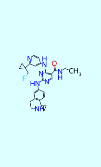 CCNC(=O)c1cnc(Nc2ccc3c(c2)CCNC32CC2)nc1Nc1ccnc(C2(CF)CC2)c1